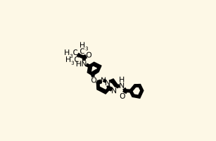 CC(C)(C)C(=O)Nc1cccc(Oc2ccc3nc(NC(=O)C4CCCCC4)cn3n2)c1